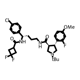 COc1ccc([C@@H]2CN(C(C)(C)C)C[C@H]2C(=O)NCCC[C@H](NC(=O)C2CC(F)(F)C2)c2ccc(Cl)cc2)c(F)c1